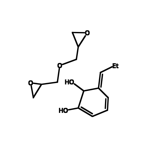 C(OCC1CO1)C1CO1.CCC=C1C=CC=C(O)C1O